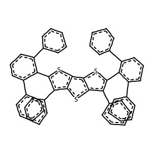 c1ccc(-c2cccc(-c3ccccc3)c2-c2sc3c(sc4c(-c5ccccc5)c(-c5c(-c6ccccc6)cccc5-c5ccccc5)sc43)c2-c2ccccc2)cc1